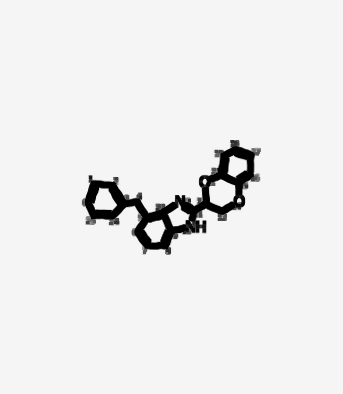 c1ccc(Cc2cccc3[nH]c(C4COc5ccccc5O4)nc23)cc1